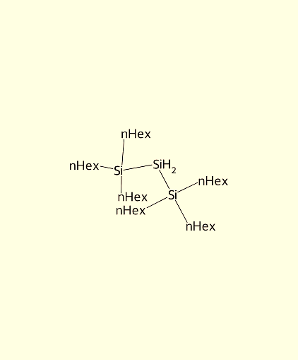 CCCCCC[Si](CCCCCC)(CCCCCC)[SiH2][Si](CCCCCC)(CCCCCC)CCCCCC